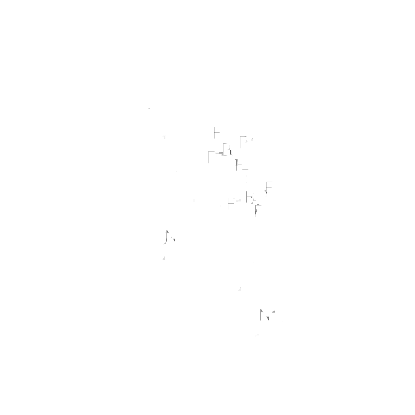 CCCCCCCCCCCCCCCC[N+](C)(C)C.C[N+](C)(C)C.F[B-](F)(F)F.F[B-](F)(F)F